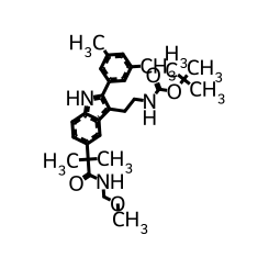 COCNC(=O)C(C)(C)c1ccc2[nH]c(-c3cc(C)cc(C)c3)c(CCNC(=O)OC(C)(C)C)c2c1